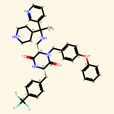 CC(NC[C@H]1C(=O)N[C@@H](Cc2ccc(C(F)(F)F)cc2)C(=O)N1Cc1ccc(Oc2ccccc2)cc1)(c1cccnc1)C1CCNCC1